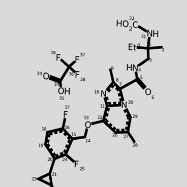 CCC(C)(CNC(=O)c1c(C)nc2c(OCc3c(F)ccc(C4CC4)c3F)cc(C)cn12)NC(=O)O.O=C(O)C(F)(F)F